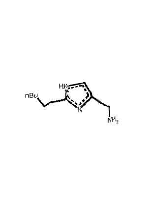 CCCCCc1nc(CN)c[nH]1